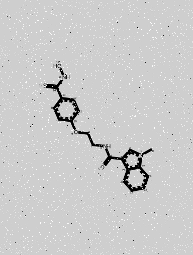 Cn1cc(C(=O)NCCOc2ccc(C(=S)NO)cc2)c2ccccc21